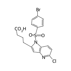 O=C(O)CCCc1cc2nc(Cl)ccc2n1S(=O)(=O)c1ccc(Br)cc1